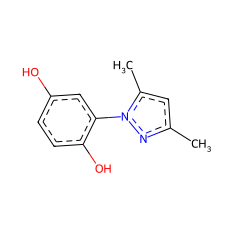 Cc1cc(C)n(-c2cc(O)ccc2O)n1